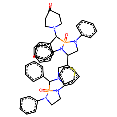 O=C1CCN(C(c2ccccc2)P2(=O)N(c3ccccc3)CC(C3CN(C(c4ccccc4)P4(=O)N(c5ccccc5)CCN4c4ccccc4)CCS3)N2c2ccccc2)CC1